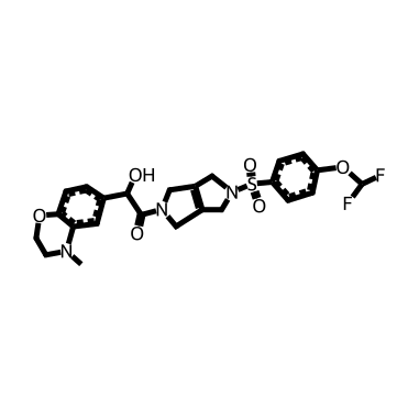 CN1CCOc2ccc(C(O)C(=O)N3CC4=C(C3)CN(S(=O)(=O)c3ccc(OC(F)F)cc3)C4)cc21